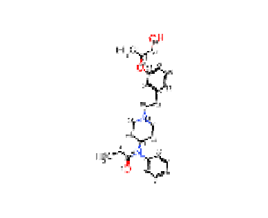 CCC(=O)N(c1ccccc1)C1CCN(CCc2cccc(OC(C)CO)c2)CC1